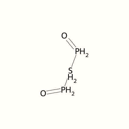 O=[PH2][SH2][PH2]=O